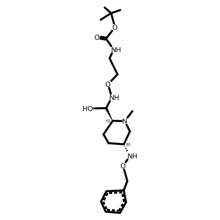 CN1C[C@H](NOCc2ccccc2)CC[C@H]1C(O)NOCCNC(=O)OC(C)(C)C